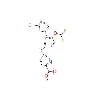 COC(=O)c1ccc(Cc2ccc(OC(F)F)c(-c3cccc(Cl)c3)c2)cn1